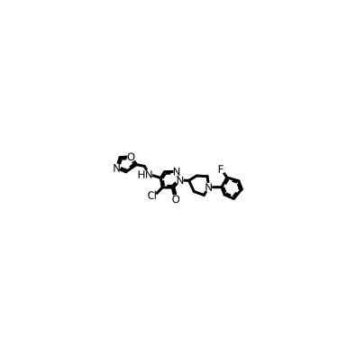 O=c1c(Cl)c(NCc2cnco2)cnn1C1CCN(c2ccccc2F)CC1